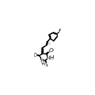 O=C1NC(=S)NC(=O)C1=C/C=C/c1ccc(F)cc1